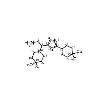 NCC(c1cnc(C2CCC(F)(F)CC2)s1)N1CCC(F)(F)CC1